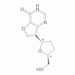 O=c1[nH]cnc2c([C@H]3CC[C@@H](CO)O3)coc12